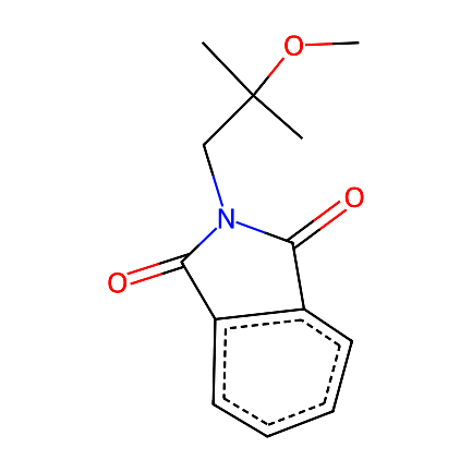 COC(C)(C)CN1C(=O)c2ccccc2C1=O